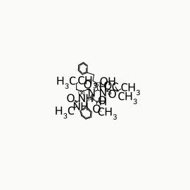 CNC(=O)N[C@@H](CC(C)C)C(=O)N(C(NC(=O)OC(C)(C)C)[C@@H](O)CCc1ccccc1)[C@@H](Cc1ccccc1)C(=O)OC